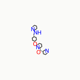 O=C(c1cccnc1)c1cccc(Oc2ccc(CNc3ccccn3)cc2)n1